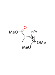 CCCC(=C(C)C(=O)OC)[SiH](OC)OC